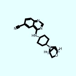 N#Cc1ccc2ncnc(N[C@H]3CC[C@H](N4C[C@@H]5C[C@H]4CO5)CC3)c2c1